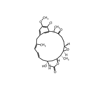 COc1cc2cc(c1Cl)N(C)C(=O)CC[C@@H]1O[C@H]1[C@H](C)[C@@H]1C[C@](O)(C/C=C/C=C(\C)C2)NC(=O)O1